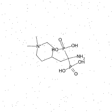 C[N+]1(C)CCC(CC(N)(P(=O)(O)O)P(=O)(O)O)CC1